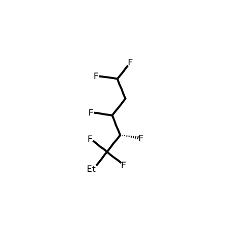 [CH2]CC(F)(F)[C@@H](F)C(F)CC(F)F